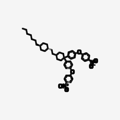 CCCCCCC[C@H]1CC[C@H](CCC2CCC(c3ccc(Oc4ccc([N+](=O)[O-])cc4)cc3)(c3ccc(Oc4ccc([N+](=O)[O-])cc4)cc3)CC2)CC1